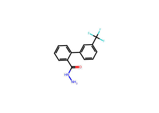 NNC(=O)c1ccccc1-c1cccc(C(F)(F)F)c1